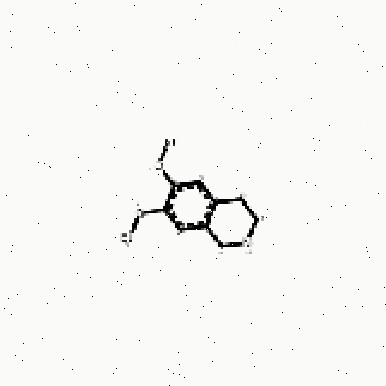 CCOc1cc2c(cc1OCC)C[N]CC2